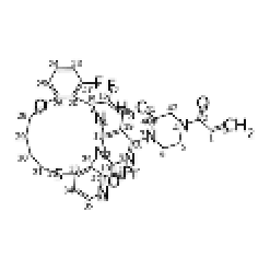 C=CC(=O)N1CCN(c2nc(=O)n3c4nc(c(F)cc24)-c2c(F)cccc2OCCCCSc2ccnc(C(C)C)c2-3)[C@@H](C)C1